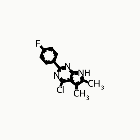 Cc1[nH]c2nc(-c3ccc(F)cc3)nc(Cl)c2c1C